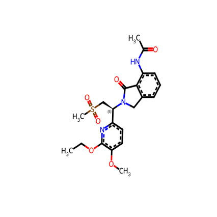 CCOc1nc([C@@H](CS(C)(=O)=O)N2Cc3cccc(NC(C)=O)c3C2=O)ccc1OC